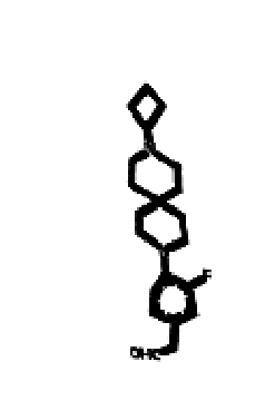 O=CCc1ccc(N2CCC3(CC2)CCN(C2CCC2)CC3)c(F)c1